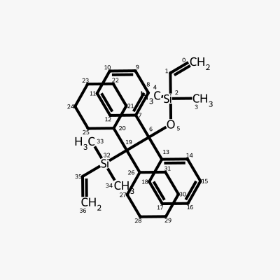 C=C[Si](C)(C)OC(c1ccccc1)(c1ccccc1)C(C1CCCCC1)(C1CCCCC1)[Si](C)(C)C=C